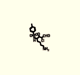 Cc1ccc(S(=O)(=O)NC(CCCCN)C(=O)C(Cl)C=O)cc1